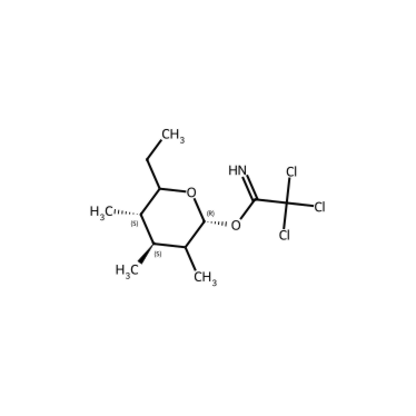 CCC1O[C@H](OC(=N)C(Cl)(Cl)Cl)C(C)[C@@H](C)[C@@H]1C